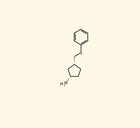 N[C@H]1CC[C@@H](CSc2ccccc2)C1